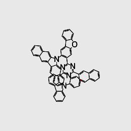 c1ccc(-n2c3ccccc3c3cccc(-c4nc(-c5ccc6ccccc6c5)nc(-c5cc6oc7ccccc7c6cc5-n5c6cc7ccccc7cc6c6cc7ccccc7cc65)n4)c32)cc1